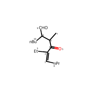 CCCC=C(CC)C(=O)C(C)C(C=O)CCCC